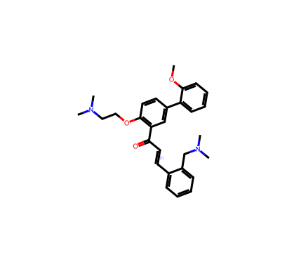 COc1ccccc1-c1ccc(OCCN(C)C)c(C(=O)/C=C/c2ccccc2CN(C)C)c1